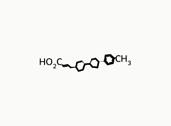 Cc1ccc([C@H]2CC[C@H]([C@H]3CC[C@H](C/C=C/C(=O)O)CC3)CC2)cc1